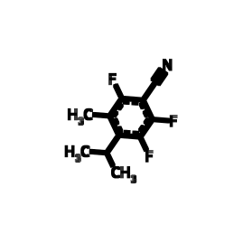 Cc1c(F)c(C#N)c(F)c(F)c1C(C)C